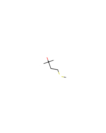 CCSCCC(C)(C)O